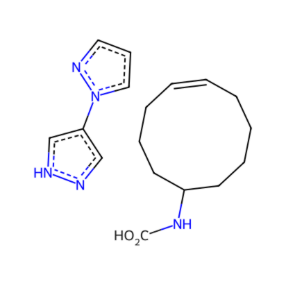 O=C(O)NC1CCCC=CCCCC1.c1cnn(-c2cn[nH]c2)c1